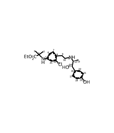 CCOC(=O)C(C)(C)Nc1ccc(CCN[C@@H](C)[C@@H](O)c2ccc(O)cc2)c(Cl)c1